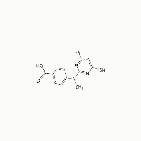 CN(c1ccc(C(=O)O)cc1)c1nc(S)nc(S)n1